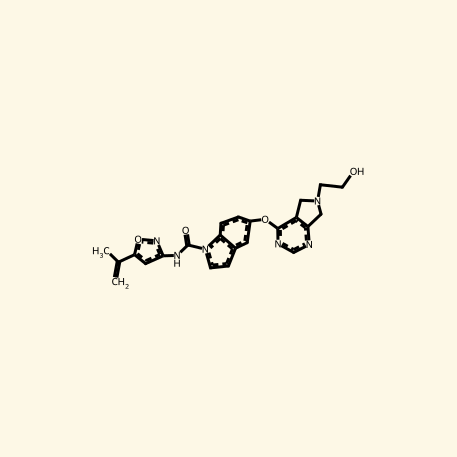 C=C(C)c1cc(NC(=O)n2ccc3cc(Oc4ncnc5c4CN(CCO)C5)ccc32)no1